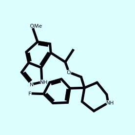 COc1cc(C(C)OCC2(c3ccc(F)cc3)CCNCC2)c2[nH]ncc2c1